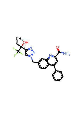 CC[C@](O)(c1cn(Cc2ccc3c(-c4ccccc4)cc(C(N)=O)nc3c2)nn1)C(F)(F)F